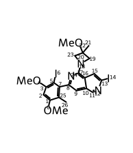 COc1cc(OC)c(I)c(-c2cc3cnc(I)cc3c(N3CC(C)(OC)C3)n2)c1C